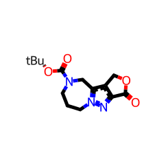 CC(C)(C)OC(=O)N1CCCn2nc3c(c2C1)COC3=O